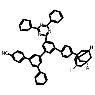 N#Cc1ccc(-c2cc(-c3ccccc3)cc(-c3cc(-c4ccc(C56C[C@H]7C[C@@H](C5)C[C@@H](C6)C7)cc4)cc(-c4nc(-c5ccccc5)nc(-c5ccccc5)n4)c3)c2)cc1